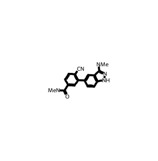 CNC(=O)c1ccc(C#N)c(-c2ccc3[nH]nc(NC)c3c2)c1